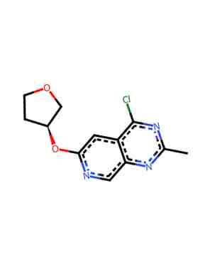 Cc1nc(Cl)c2cc(O[C@H]3CCOC3)ncc2n1